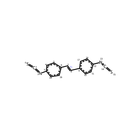 S=C=Nc1ccc(/C=C/c2ccc(N=C=S)cc2)cc1